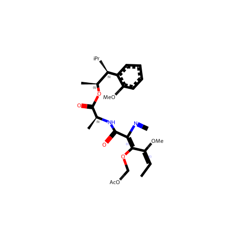 C=N/C(C(=O)N[C@@H](C)C(=O)O[C@@H](C)[C@H](c1ccccc1OC)C(C)C)=C(OCOC(C)=O)\C(=C/C)OC